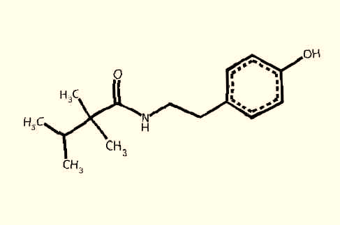 CC(C)C(C)(C)C(=O)NCCc1ccc(O)cc1